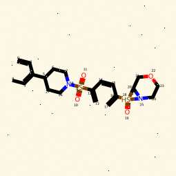 C=C/C(=C\C)C1CCN(S(=O)(=O)C(=C)/C=C\C(=C)[SH]2(=O)C3COCCN32)CC1